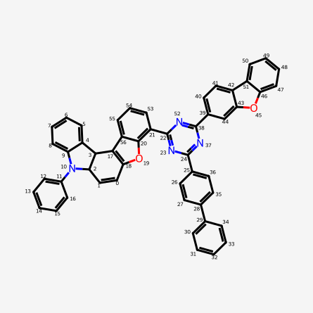 C1=CC2C(c3ccccc3N2c2ccccc2)c2c1oc1c(-c3nc(-c4ccc(-c5ccccc5)cc4)nc(-c4ccc5c(c4)oc4ccccc45)n3)cccc21